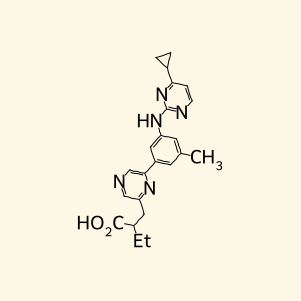 CCC(Cc1cncc(-c2cc(C)cc(Nc3nccc(C4CC4)n3)c2)n1)C(=O)O